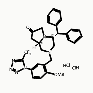 COc1ccc(-n2nnnc2C(F)(F)F)cc1CN1C[C@@H]2CC(=O)CN2[C@H](C(c2ccccc2)c2ccccc2)C1.Cl.Cl